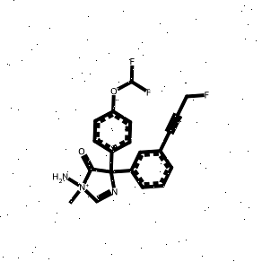 C[N+]1(N)C=NC(c2ccc(OC(F)F)cc2)(c2cccc(C#CCF)c2)C1=O